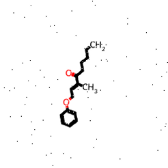 [CH2]CCCCC(=O)/C(C)=C/COc1ccccc1